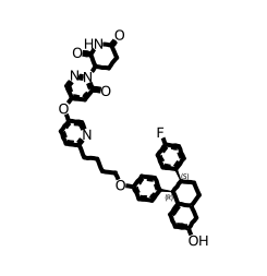 O=C1CCC(n2ncc(Oc3ccc(CCCCOc4ccc([C@@H]5C6=CC=C(O)CC6CC[C@@H]5c5ccc(F)cc5)cc4)nc3)cc2=O)C(=O)N1